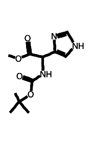 COC(=O)C(NC(=O)OC(C)(C)C)c1c[nH]cn1